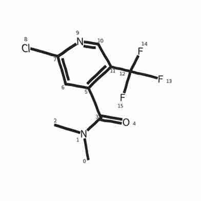 CN(C)C(=O)c1cc(Cl)ncc1C(F)(F)F